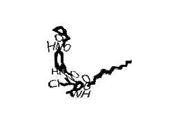 CCCCCCCCCCCC(=O)Oc1cc2c(c3c1NCC3C)C(CCl)CN2C(=O)c1cc2cc(NC(=O)c3cc4ccccc4o3)ccc2[nH]1